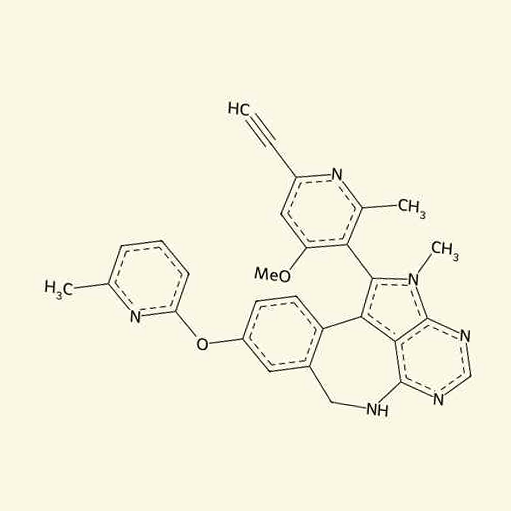 C#Cc1cc(OC)c(-c2c3c4c(ncnc4n2C)NCc2cc(Oc4cccc(C)n4)ccc2-3)c(C)n1